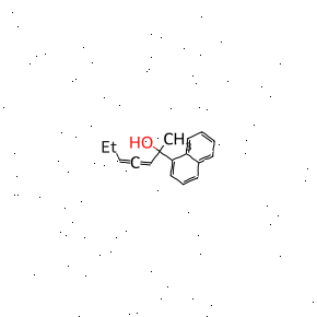 CCC=C=CC(C)(O)c1cccc2ccccc12